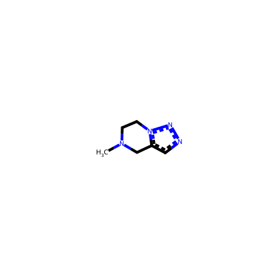 CN1CCn2nncc2C1